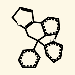 Nc1cccc2c1C(c1ccccc1)(c1ccccc1)CC1=C2C=CCC1